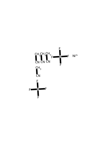 CC#N.CC#N.CC#N.CC#N.F[B-](F)(F)F.F[B-](F)(F)F.[Ni+2]